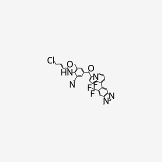 Cc1cc(C(=O)c2ccc3c(-c4cc5ncn(C)c5cc4C(F)(F)F)cccn23)cc(C#N)c1NC(=O)/C=C/CCl